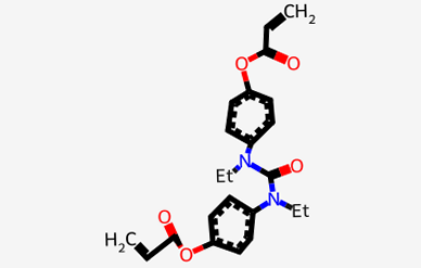 C=CC(=O)Oc1ccc(N(CC)C(=O)N(CC)c2ccc(OC(=O)C=C)cc2)cc1